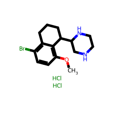 COc1ccc(Br)c2c1C(C1CNCCN1)CCC2.Cl.Cl